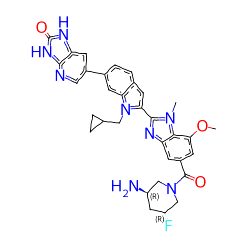 COc1cc(C(=O)N2C[C@H](N)C[C@@H](F)C2)cc2nc(-c3cc4ccc(-c5cnc6[nH]c(=O)[nH]c6c5)cc4n3CC3CC3)n(C)c12